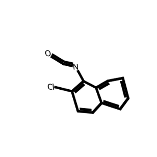 O=C=Nc1c(Cl)ccc2ccccc12